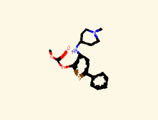 COC(=O)Oc1sc(-c2ccccc2)cc1NC1CCN(C)CC1